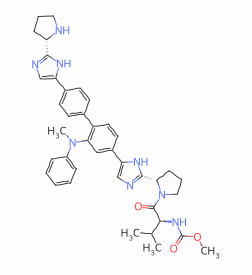 COC(=O)N[C@H](C(=O)N1CCC[C@H]1c1ncc(-c2ccc(-c3ccc(-c4cnc([C@@H]5CCCN5)[nH]4)cc3)c(N(C)c3ccccc3)c2)[nH]1)C(C)C